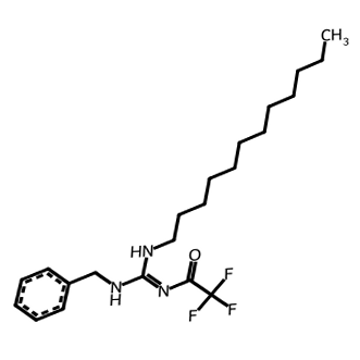 CCCCCCCCCCCCN/C(=N\C(=O)C(F)(F)F)NCc1ccccc1